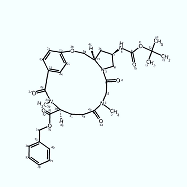 CN1CC(=O)N2C[C@H](NC(=O)OC(C)(C)C)C[C@H]2COc2ccc(cc2)C(=O)N(C)[C@H](C(=O)OCc2ccccc2)CCC1=O